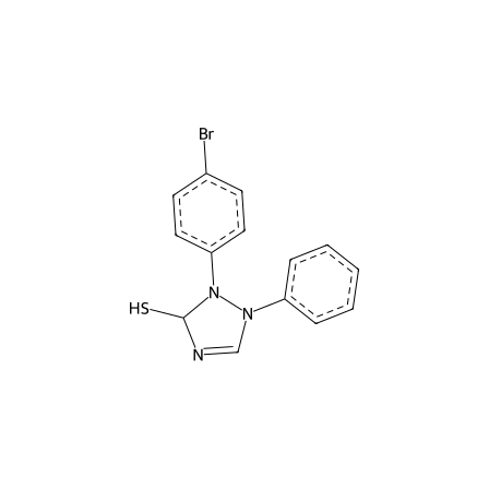 SC1N=CN(c2ccccc2)N1c1ccc(Br)cc1